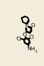 Nc1cc(Cl)c(Oc2ccc(=O)n(C3=CCCCC3)c2)c(Cl)c1